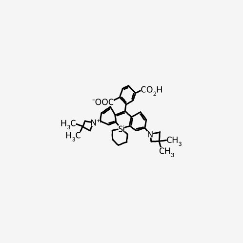 CC1(C)CN(c2ccc3c(c2)[Si]2(CCCCC2)C2=CC(=[N+]4CC(C)(C)C4)C=CC2=C3c2cc(C(=O)O)ccc2C(=O)[O-])C1